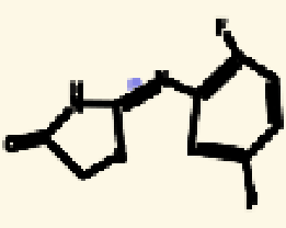 O=C1CS/C(=N\c2cc(F)ccc2F)N1